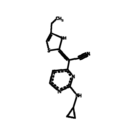 CCC1=CSC(=C(C#N)c2ccnc(NC3CC3)n2)N1